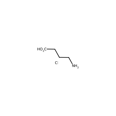 NCCCC(=O)O.[C]